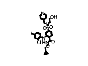 O=C(NOCC1CC1)c1ccc(S(=O)(=O)N(CCO)Cc2ccncc2)cc1Nc1ccc(I)cc1Cl